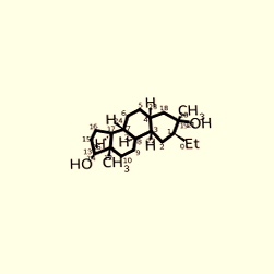 CC[C@H]1C[C@H]2[C@H](CC[C@@H]3[C@@H]2CC[C@]2(C)[C@@H](O)CC[C@@H]32)C[C@]1(C)O